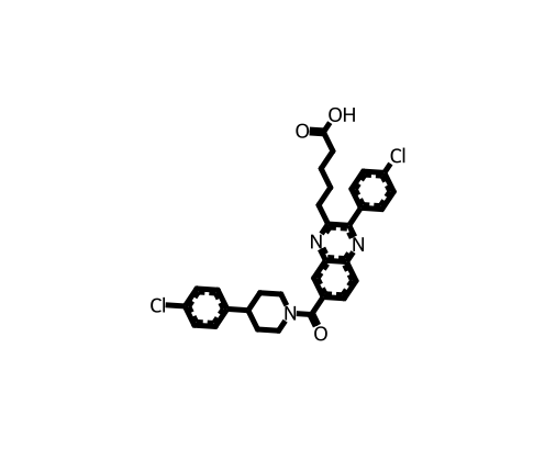 O=C(O)CCCCc1nc2cc(C(=O)N3CCC(c4ccc(Cl)cc4)CC3)ccc2nc1-c1ccc(Cl)cc1